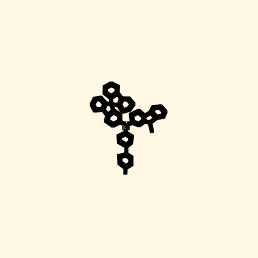 Cc1ccc(-c2ccc(N(c3ccc4c(c3)C(C)c3ccccc3-4)c3ccc4c(c3)C3(c5ccccc5-c5ccccc53)c3ccccc3-4)cc2)cc1